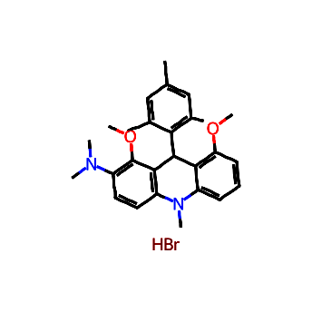 Br.COc1cccc2c1C(c1c(C)cc(C)cc1C)c1c(ccc(N(C)C)c1OC)N2C